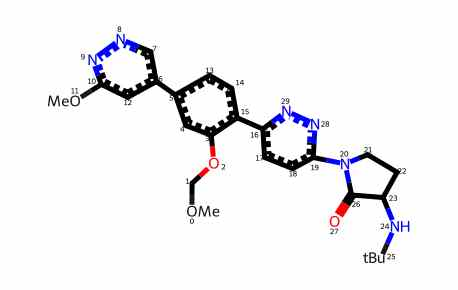 COCOc1cc(-c2cnnc(OC)c2)ccc1-c1ccc(N2CCC(NC(C)(C)C)C2=O)nn1